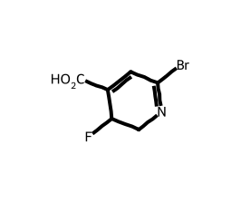 O=C(O)C1=CC(Br)=NCC1F